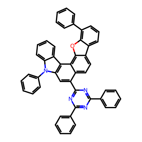 c1ccc(-c2nc(-c3ccccc3)nc(-c3cc4c(c5ccccc5n4-c4ccccc4)c4c3ccc3c5cccc(-c6ccccc6)c5oc34)n2)cc1